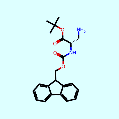 CC(C)(C)OC(=O)[C@H](CN)NC(=O)OCC1c2ccccc2-c2ccccc21